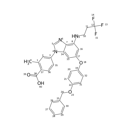 Cc1cc(-n2cnc3c(NCCC(F)(F)F)cc(Oc4ccc(OCc5ccccc5)cc4)cc32)ccc1C(=O)O